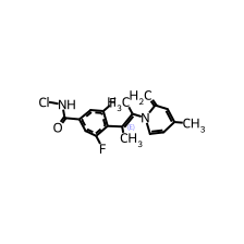 C=C1C=C(C)C=CN1/C(C)=C(\C)c1c(F)cc(C(=O)NCl)cc1F